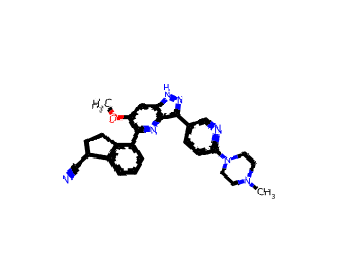 COc1cc2[nH]nc(-c3ccc(N4CCN(C)CC4)nc3)c2nc1-c1cccc2c1CCC2C#N